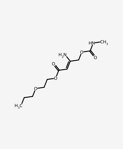 CCCOCCOC(=O)C=C(N)COC(=O)NC